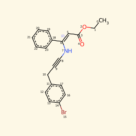 CCOC(=O)/C=C(\NC#CCc1ccc(Br)cc1)c1ccccc1